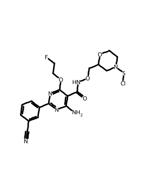 N#Cc1cccc(-c2nc(N)c(C(=O)NOCC3CN(SCl)CCO3)c(OCCF)n2)c1